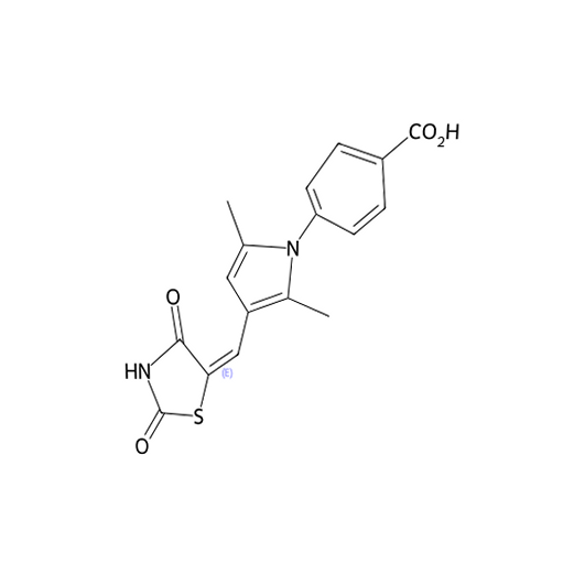 Cc1cc(/C=C2/SC(=O)NC2=O)c(C)n1-c1ccc(C(=O)O)cc1